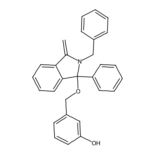 C=C1c2ccccc2C(OCc2cccc(O)c2)(c2ccccc2)N1Cc1ccccc1